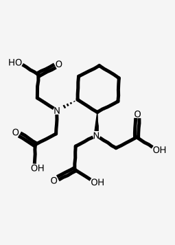 O=C(O)CN(CC(=O)O)[C@@H]1CCCC[C@H]1N(CC(=O)O)CC(=O)O